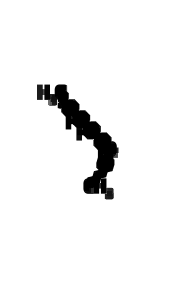 CCCCCc1ccc(C(F)(F)Oc2ccc(-c3ccc(-c4ccc(-c5ccc(SCC)cc5)c(F)c4)c(F)c3)cc2)cc1